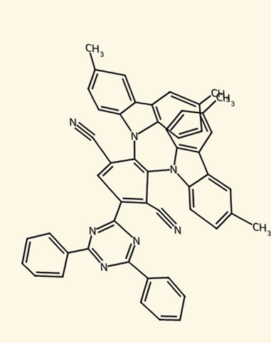 Cc1ccc2c(c1)c1cc(C)ccc1n2-c1c(C#N)cc(-c2nc(-c3ccccc3)nc(-c3ccccc3)n2)c(C#N)c1-n1c2ccc(C)cc2c2cc(C)ccc21